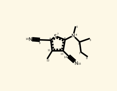 CCC(C)N(C)c1sc(C#N)c(C)c1C#N